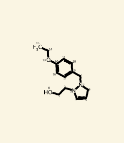 OCCN1C=CCN1Cc1ccc(OCC(F)(F)F)cc1